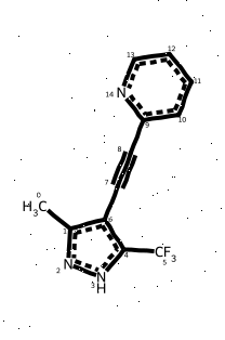 Cc1n[nH]c(C(F)(F)F)c1C#Cc1ccccn1